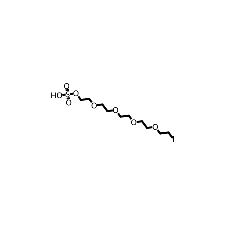 O=S(=O)(O)OCCOCCOCCOCCOCCI